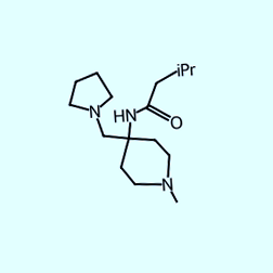 CC(C)CC(=O)NC1(CN2CCCC2)CCN(C)CC1